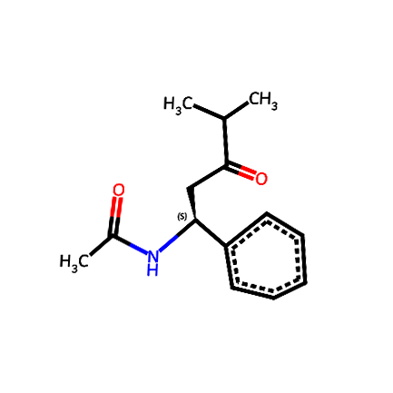 CC(=O)N[C@@H](CC(=O)C(C)C)c1ccccc1